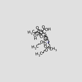 C=CCOC(=O)N(C)C/C=C/[C@@H]1C[C@H](SC2=C(C(=O)O)N3C(=O)[C@H]([C@@H](C)O)[C@H]3[C@H]2C)CN1C(=O)OCC=C